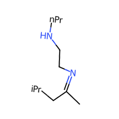 CCCNCC/N=C(/C)CC(C)C